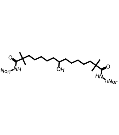 CCCCCCCCCNC(=O)C(C)(C)CCCCCC(O)CCCCCC(C)(C)C(=O)NCCCCCCCCC